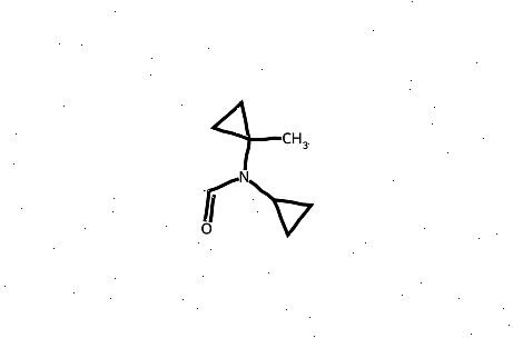 CC1(N([C]=O)C2CC2)CC1